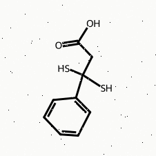 O=C(O)CC(S)(S)c1ccccc1